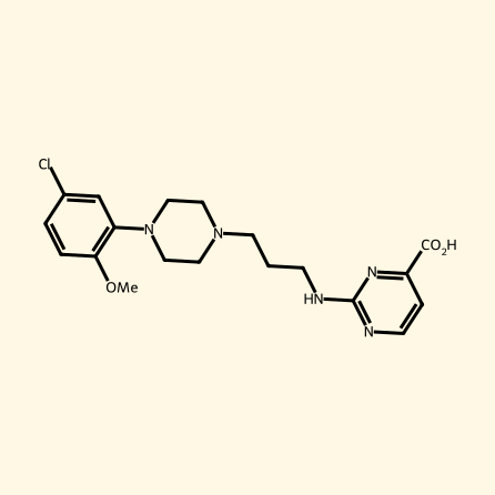 COc1ccc(Cl)cc1N1CCN(CCCNc2nccc(C(=O)O)n2)CC1